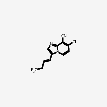 N#Cc1c(Cl)ccn2c(C=CCC(F)(F)F)cnc12